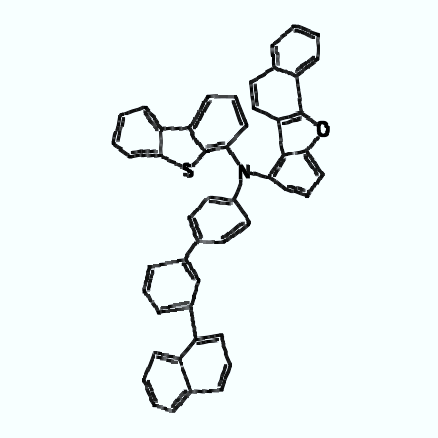 c1cc(-c2ccc(N(c3cccc4c3sc3ccccc34)c3cccc4oc5c6ccccc6ccc5c34)cc2)cc(-c2cccc3ccccc23)c1